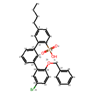 CCCCc1ccc(S(=O)(=O)O)c(-c2cccc(-c3cc(Br)ccc3OCc3ccccc3)c2)c1